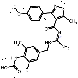 COc1ccc(-c2nsc(C)c2C(=O)/N=C(/N)NCc2cc(C)c(NC(=O)O)c(Cl)c2)cc1